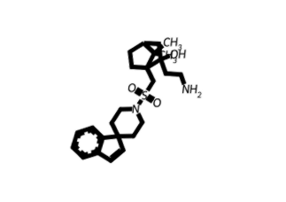 CC1(C)C2CCC1(CS(=O)(=O)N1CCC3(C=Cc4ccccc43)CC1)C(O)(CCN)C2